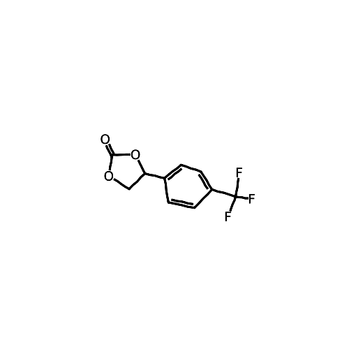 O=C1OCC(c2ccc(C(F)(F)F)cc2)O1